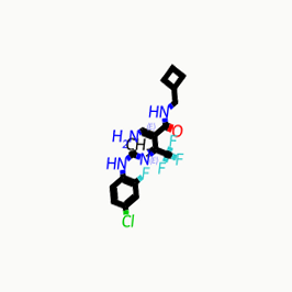 C=C(/N=C(\C(=C/N)C(=O)NCC1CCC1)C(F)(F)F)Nc1ccc(Cl)cc1F